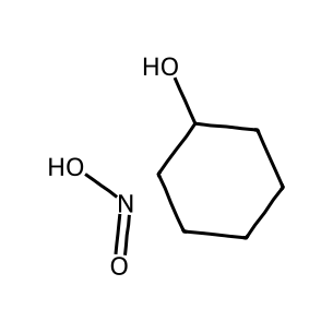 O=NO.OC1CCCCC1